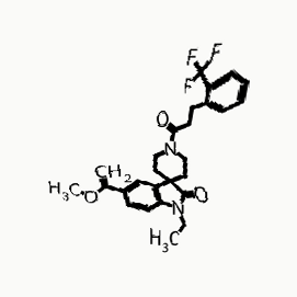 C=C(OC)c1ccc2c(c1)C1(CCN(C(=O)CCc3ccccc3C(F)(F)F)CC1)C(=O)N2CC